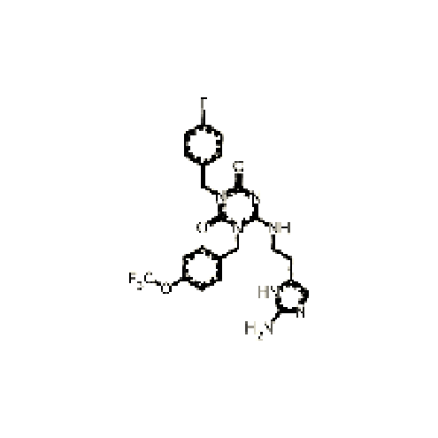 Nc1ncc(CCNc2nc(=O)n(Cc3ccc(F)cc3)c(=O)n2Cc2ccc(OC(F)(F)F)cc2)[nH]1